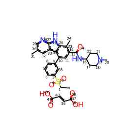 CCS(=O)(=O)c1cccc(-c2cc(C(=O)NC3CCN(C)CC3)c(C)c3[nH]c4ncc(C)cc4c23)c1.O=C(O)/C=C/C(=O)O